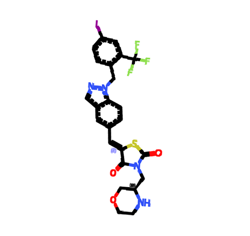 O=C1S/C(=C\c2ccc3c(cnn3Cc3ccc(I)cc3C(F)(F)F)c2)C(=O)N1C[C@@H]1COCCN1